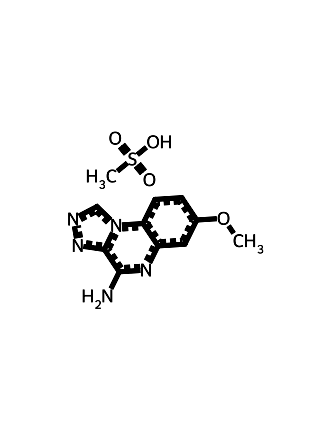 COc1ccc2c(c1)nc(N)c1nncn12.CS(=O)(=O)O